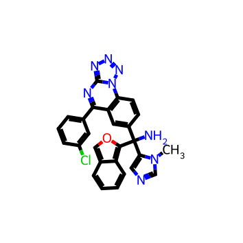 Cn1cncc1C(N)(c1ccc2c(c1)c(-c1cccc(Cl)c1)nc1nnnn12)c1occ2ccccc12